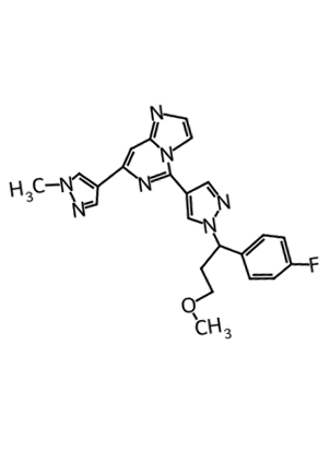 COCCC(c1ccc(F)cc1)n1cc(-c2nc(-c3cnn(C)c3)cc3nccn23)cn1